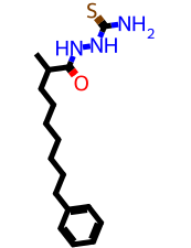 CC(CCCCCCCc1ccccc1)C(=O)NNC(N)=S